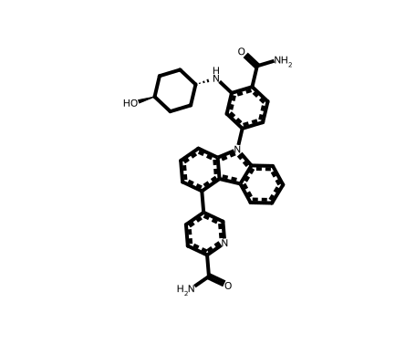 NC(=O)c1ccc(-c2cccc3c2c2ccccc2n3-c2ccc(C(N)=O)c(N[C@H]3CC[C@H](O)CC3)c2)cn1